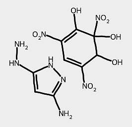 NNc1cc(N)n[nH]1.O=[N+]([O-])C1=CC([N+](=O)[O-])=C(O)C(O)([N+](=O)[O-])C1O